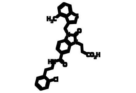 Cc1cccc2scc(Cn3c(=O)n(CCC(=O)O)c4cc(C(=O)NCCc5ccccc5Cl)ccc43)c12